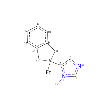 CCC1(c2cncn2C)Cc2ccccc2C1